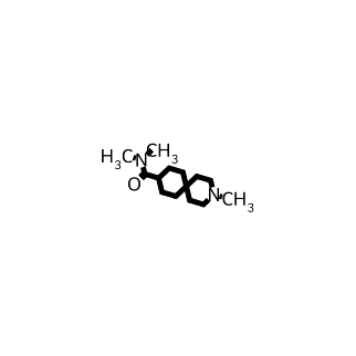 CN1CCC2(CCC(C(=O)N(C)C)CC2)CC1